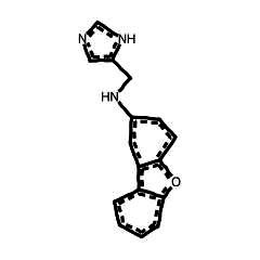 c1ccc2c(c1)oc1ccc(NCc3cnc[nH]3)cc12